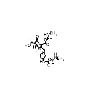 BNPOC(=O)N[C@H]1CCN(CC2=C(C(=O)OPNB)N3C(=O)C([C@@H](C)O)[C@H]3[C@H]2C)C1